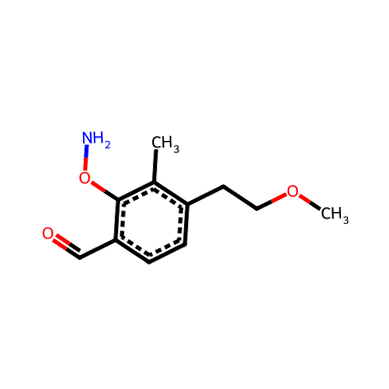 COCCc1ccc(C=O)c(ON)c1C